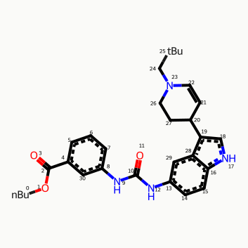 CCCCOC(=O)c1cccc(NC(=O)Nc2ccc3[nH]cc(C4C=CN(CC(C)(C)C)CC4)c3c2)c1